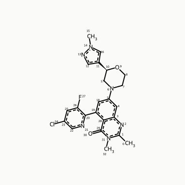 Cc1nc2cc(N3CCO[C@H](c4cnn(C)c4)C3)cc(-c3ncc(Cl)cc3F)c2c(=O)n1C